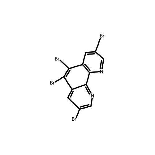 Brc1cnc2c(c1)c(Br)c(Br)c1cc(Br)cnc12